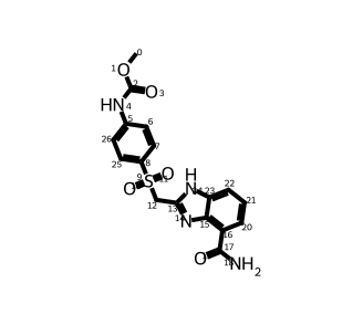 COC(=O)Nc1ccc(S(=O)(=O)Cc2nc3c(C(N)=O)cccc3[nH]2)cc1